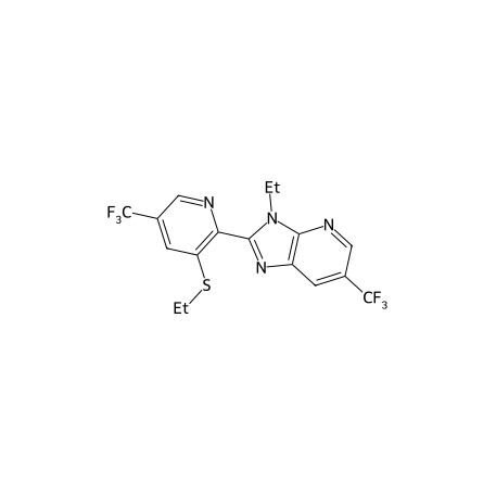 CCSc1cc(C(F)(F)F)cnc1-c1nc2cc(C(F)(F)F)cnc2n1CC